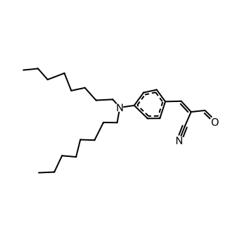 CCCCCCCCN(CCCCCCCC)c1ccc(/C=C(\C#N)C=O)cc1